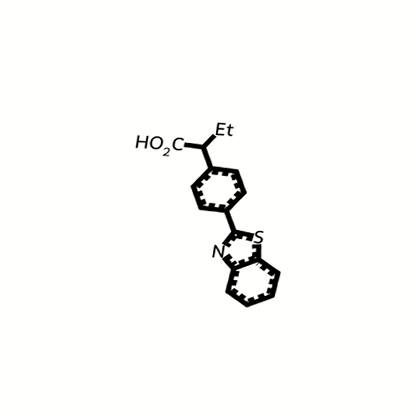 CCC(C(=O)O)c1ccc(-c2nc3ccccc3s2)cc1